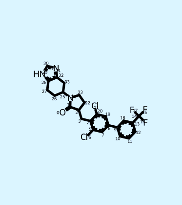 O=C1C(Cc2c(Cl)cc(-c3cccc(C(F)(F)F)c3)cc2Cl)CCN1C1CCc2[nH]cnc2C1